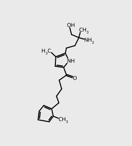 Cc1ccccc1CCCCC(=O)c1cc(C)c(CCC(C)(N)CO)[nH]1